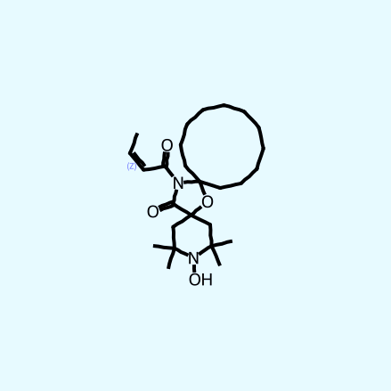 C/C=C\C(=O)N1C(=O)C2(CC(C)(C)N(O)C(C)(C)C2)OC12CCCCCCCCCCC2